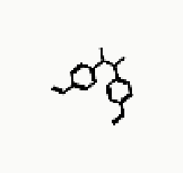 C=Cc1ccc(C(C)C(C)c2ccc(C=C)cc2)cc1